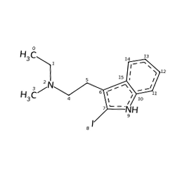 CCN(C)CCc1c(I)[nH]c2ccccc12